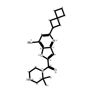 CC(C)(C)c1cc(C2CC3(CCC3)C2)nc2cc(C(=O)N3CCNCC3(C)C)oc12